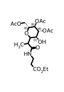 CCOC(=O)CCNC(=O)C(C)C1O[C@H](COC(C)=O)[C@@H](OC(C)=O)[C@H](OC(C)=O)[C@H]1O